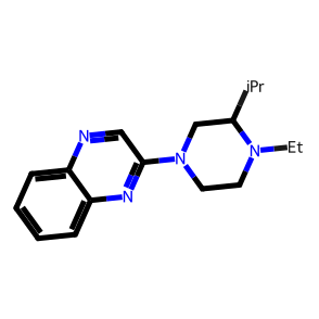 CCN1CCN(c2cnc3ccccc3n2)CC1C(C)C